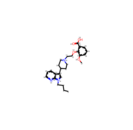 CCCCn1cc(C2CCN(CCOc3c(OC)cccc3C(=O)O)CC2)c2cccnc21